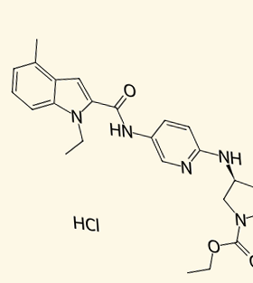 CCOC(=O)N1CC[C@H](Nc2ccc(NC(=O)c3cc4c(C)cccc4n3CC)cn2)C1.Cl